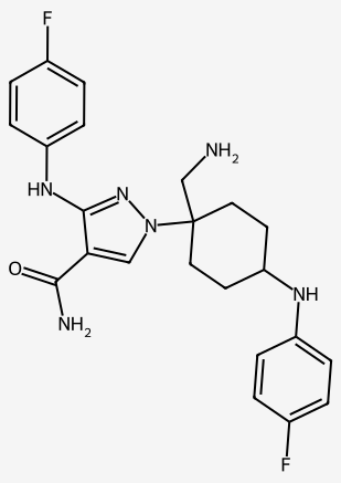 NCC1(n2cc(C(N)=O)c(Nc3ccc(F)cc3)n2)CCC(Nc2ccc(F)cc2)CC1